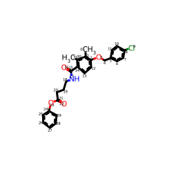 Cc1c(OCc2ccc(Cl)cc2)ccc(C(=O)NCCCC(=O)Oc2ccccc2)c1C